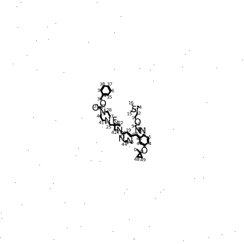 CC1(Oc2ccc3nn(COCC[Si](C)(C)C)c(-c4cc(N5CC(F)(CN6CCN(C(=O)OCc7ccccc7)CC6)C5)ncn4)c3c2)CC1